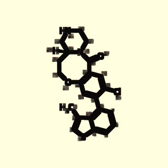 Cc1csc2cccc(-c3cc4c(cc3Cl)C(=O)N3CCNC[C@@H]3CCO4)c12